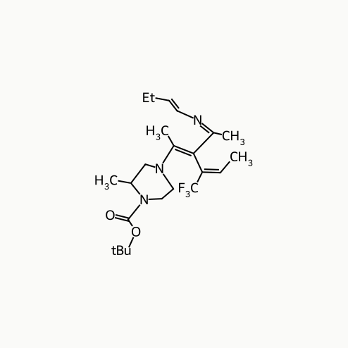 C\C=C(C(/C(C)=N\C=C\CC)=C(/C)N1CCN(C(=O)OC(C)(C)C)C(C)C1)\C(F)(F)F